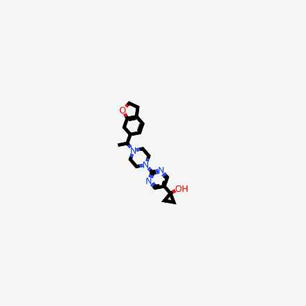 CC(C1C=CC2=C(C1)OCC2)N1CCN(c2ncc(C3(O)CC3)cn2)CC1